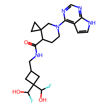 O=C(NCC1CC(C(O)F)(C(O)F)C1)C1CCN(c2ncnc3[nH]ccc23)CC12CC2